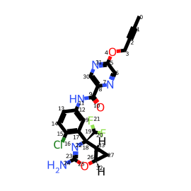 CC#CCOc1cnc(C(=O)Nc2ccc(Cl)c([C@@]3(C(F)F)N=C(N)O[C@@H]4C[C@@H]43)c2)cn1